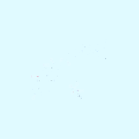 C[C@]12C=CC(=O)C=C1CC[C@@H]1[C@@H]2[C@@H](O)C[C@@]2(C)[C@H]1CC[C@]2(O)C(=O)COC(=O)CCCc1ccc(N(CCCl)CCCl)cc1.O=P([O-])([O-])O.[Na+].[Na+]